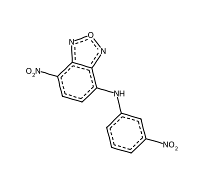 O=[N+]([O-])c1cccc(Nc2ccc([N+](=O)[O-])c3nonc23)c1